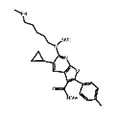 CNC(=O)c1c(-c2ccc(C)cc2)oc2nc(N(CCCCCPC)SC)c(C3CC3)cc12